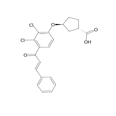 O=C(C=Cc1ccccc1)c1ccc(O[C@H]2CC[C@H](C(=O)O)C2)c(Cl)c1Cl